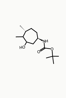 CC1C(O)C[C@H](NC(=O)OC(C)(C)C)CC[C@H]1C